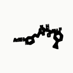 CC(=O)Nc1cc(CCc2cnc(NC(=O)Nc3cc(C4CC4)ccc3F)s2)ccn1